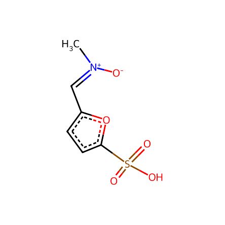 C[N+]([O-])=Cc1ccc(S(=O)(=O)O)o1